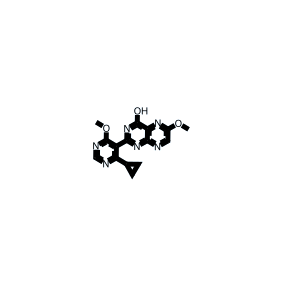 COc1cnc2nc(-c3c(OC)ncnc3C3CC3)nc(O)c2n1